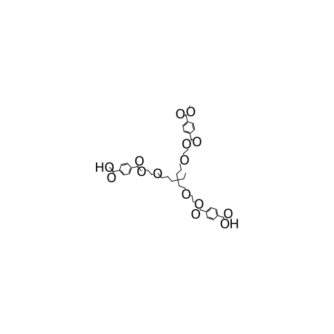 CCC(CCCOCCOC(=O)c1ccc(C(=O)O)cc1)(CCCOCCOC(=O)c1ccc(C(=O)OC)cc1)CCOCCOC(=O)c1ccc(C(=O)O)cc1